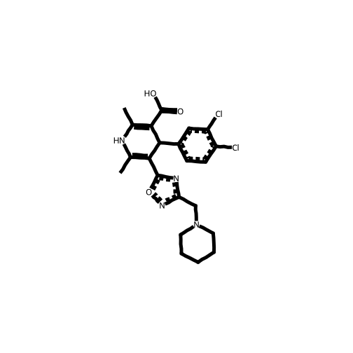 CC1=C(C(=O)O)C(c2ccc(Cl)c(Cl)c2)C(c2nc(CN3CCCCC3)no2)=C(C)N1